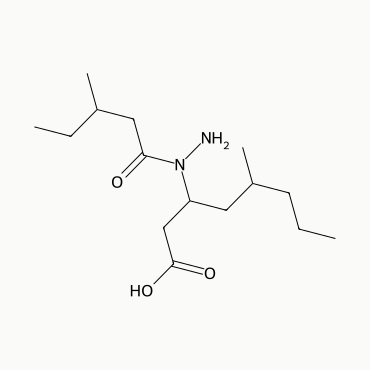 CCCC(C)CC(CC(=O)O)N(N)C(=O)CC(C)CC